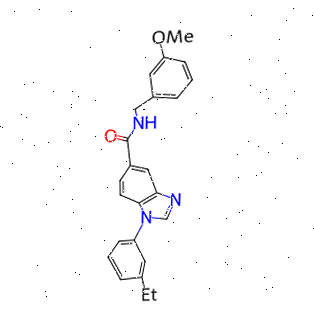 CCc1cccc(-n2cnc3cc(C(=O)NCc4cccc(OC)c4)ccc32)c1